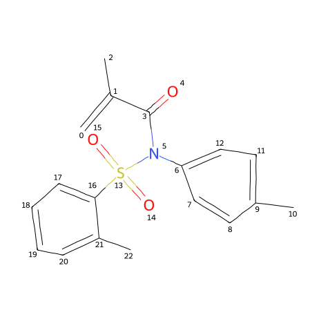 C=C(C)C(=O)N(c1ccc(C)cc1)S(=O)(=O)c1ccccc1C